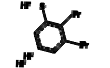 CC(C)c1cccc([S])c1C(C)C.F.F.F